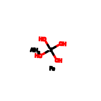 [AlH3].[Fe].[OH][Ti]([OH])([OH])[OH]